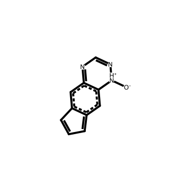 [O-][NH+]1N=CN=c2cc3c(cc21)=CC=C3